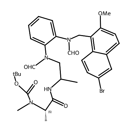 COc1ccc2cc(Br)ccc2c1CN(C=O)c1ccccc1N(C=O)CC(C)NC(=O)[C@H](C)N(C)C(=O)OC(C)(C)C